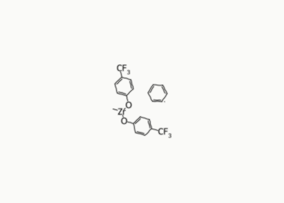 [CH3][Zr]([O]c1ccc(C(F)(F)F)cc1)[O]c1ccc(C(F)(F)F)cc1.[c]1ccccc1